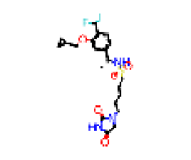 C[C@@H](NS(=O)(=O)CCCCCN1CC(=O)NC1=O)c1ccc(C(F)F)c(OCC2CC2)c1